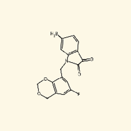 Bc1ccc2c(c1)N(Cc1cc(F)cc3c1OCOC3)C(=O)C2=O